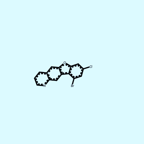 Clc1cc(Br)c2c(c1)oc1cc3cccnc3cc12